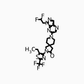 CCc1sc(C(F)(F)F)nc1N1CC2(CCN(c3cnc4cnn(CC(F)F)c4n3)CC2)CC1=O